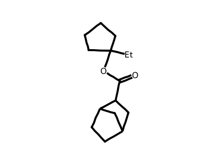 CCC1(OC(=O)C2CC3CCC2C3)CCCC1